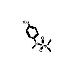 CN(C)S(=O)(=O)N(C)c1ccc(C(C)(C)C)cc1